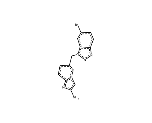 Nc1cn2nc(Cn3nnc4ccc(Br)cc43)ccc2n1